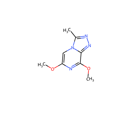 COc1cn2c(C)nnc2c(OC)n1